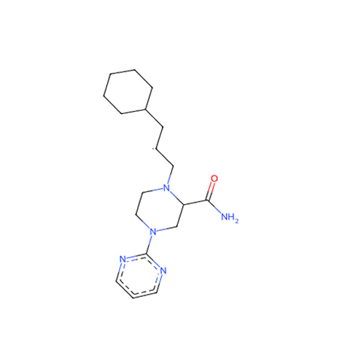 NC(=O)C1CN(c2ncccn2)CCN1C[CH]CC1CCCCC1